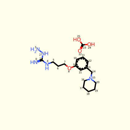 N=C(NN)NCCCOc1cccc(CN2CCCCC2)c1.O=C(O)O